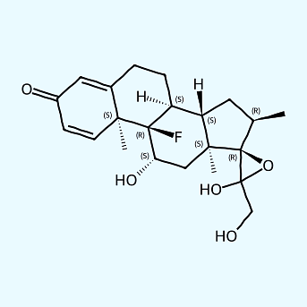 C[C@@H]1C[C@H]2[C@@H]3CCC4=CC(=O)C=C[C@]4(C)[C@@]3(F)[C@@H](O)C[C@]2(C)[C@]12OC2(O)CO